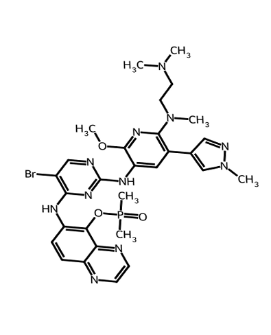 COc1nc(N(C)CCN(C)C)c(-c2cnn(C)c2)cc1Nc1ncc(Br)c(Nc2ccc3nccnc3c2OP(C)(C)=O)n1